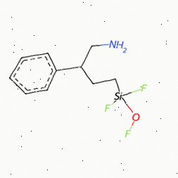 NCC(CC[Si](F)(F)OF)c1ccccc1